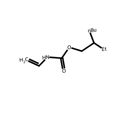 C=CNC(=O)OCC(CC)CCCC